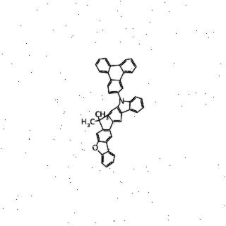 CC1(C)c2cc3oc4ccccc4c3cc2-c2cc3c4ccccc4n(-c4ccc5c6ccccc6c6ccccc6c5c4)c3cc21